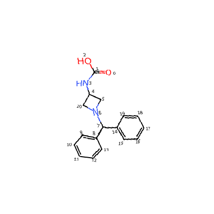 O=C(O)NC1CN(C(c2ccccc2)c2ccccc2)C1